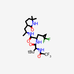 CC(CC1CCC(C)(C)NC1=O)NC(=O)C(CC1CC1(F)F)NC(=O)C(NC(=O)C(F)(F)F)C(C)(C)C